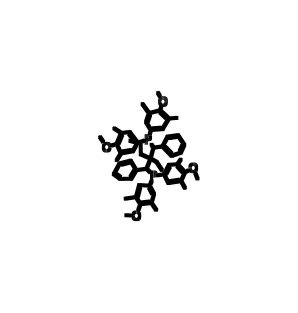 CCCC(CC)(C(c1ccccc1)P(c1cc(C)c(OC)c(C)c1)c1cc(C)c(OC)c(C)c1)C(c1ccccc1)P(c1cc(C)c(OC)c(C)c1)c1cc(C)c(OC)c(C)c1